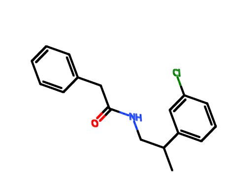 CC(CNC(=O)Cc1ccccc1)c1cccc(Cl)c1